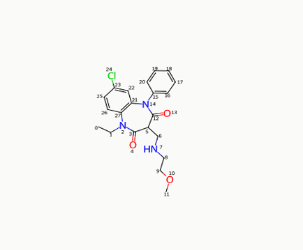 CCN1C(=O)C(CNCCOC)C(=O)N(c2ccccc2)c2cc(Cl)ccc21